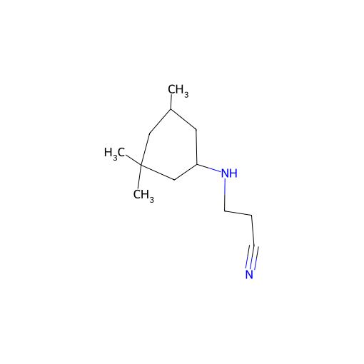 CC1CC(NCCC#N)CC(C)(C)C1